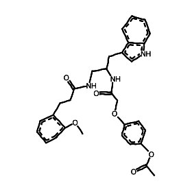 COc1ccccc1CCC(=O)NCC(Cc1c[nH]c2ccccc12)NC(=O)COc1ccc(OC(C)=O)cc1